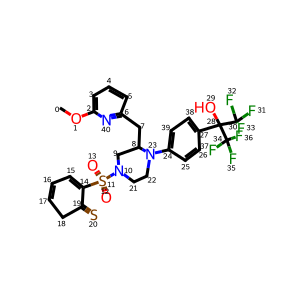 COc1cccc(CC2CN(S(=O)(=O)C3=CC=CCC3=S)CCN2c2ccc(C(O)(C(F)(F)F)C(F)(F)F)cc2)n1